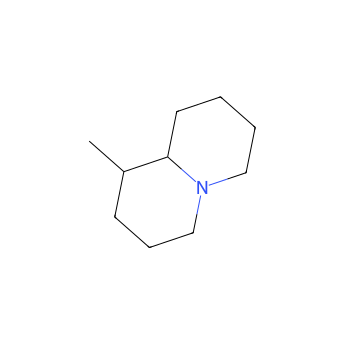 CC1CCCN2CCCCC12